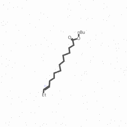 CC/C=C/CCCCCCCCCCC(=O)OCCCC